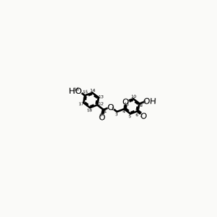 O=C(OCc1cc(=O)c(O)co1)c1ccc(O)cc1